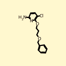 Nc1ccc(Cl)c(OCCCOCc2ccccc2)n1